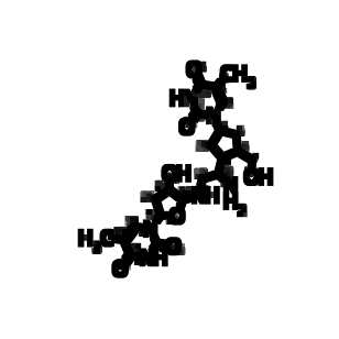 Cc1cn(C2CC(CO)C(C(N)CNC3OC(n4cc(C)c(=O)[nH]c4=O)CC3O)C2)c(=O)[nH]c1=O